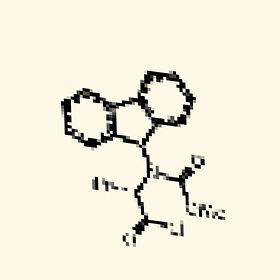 COC(=O)N(C1c2ccccc2-c2ccccc21)[C@H](C(=O)Cl)C(C)C